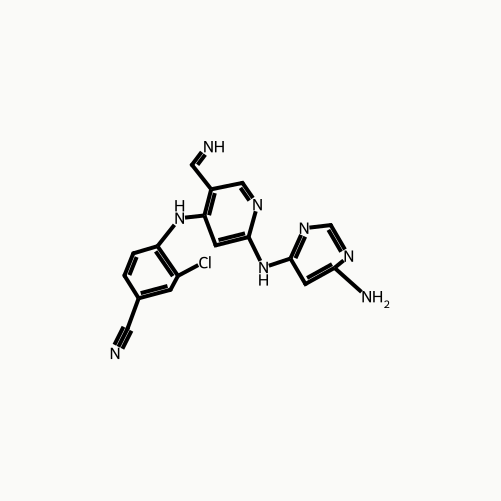 N#Cc1ccc(Nc2cc(Nc3cc(N)ncn3)ncc2C=N)c(Cl)c1